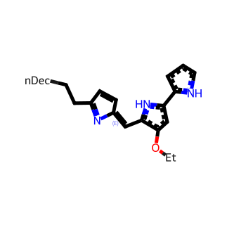 CCCCCCCCCCCCC1=N/C(=C/c2[nH]c(-c3ccc[nH]3)cc2OCC)C=C1